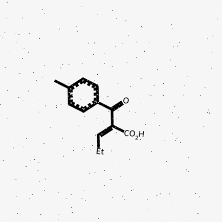 CCC=C(C(=O)O)C(=O)c1ccc(C)cc1